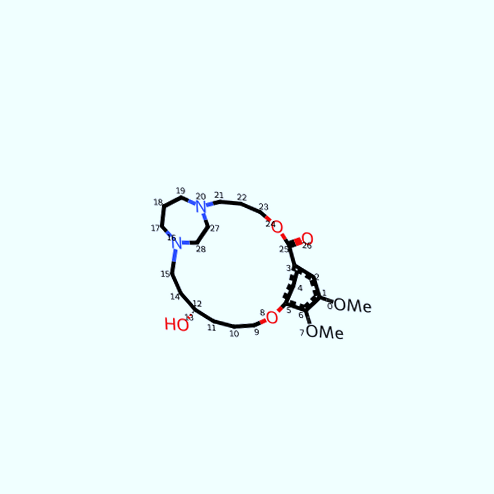 COc1cc2cc(c1OC)OCCC[C@H](O)CCN1CCCN(CCCOC2=O)CC1